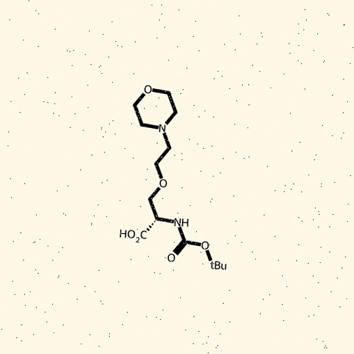 CC(C)(C)OC(=O)N[C@@H](COCCN1CCOCC1)C(=O)O